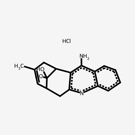 CC1=CC2Cc3nc4ccccc4c(N)c3C(C1)C2(O)O.Cl